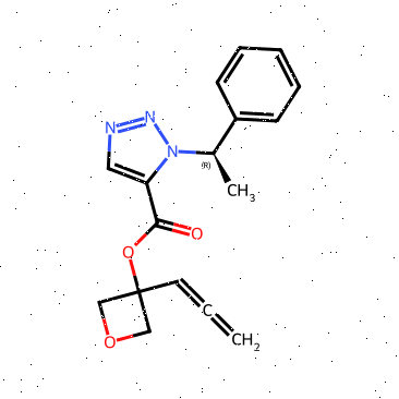 C=C=CC1(OC(=O)c2cnnn2[C@H](C)c2ccccc2)COC1